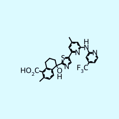 Cc1cc(Nc2cc(C(F)(F)F)ccn2)nc(-c2cnc([C@@]3(O)CCCc4c3ccc(C)c4C(=O)O)s2)c1